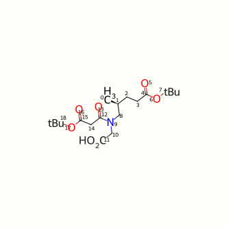 C[C@@H](CCC(=O)OC(C)(C)C)CN(CC(=O)O)C(=O)CC(=O)OC(C)(C)C